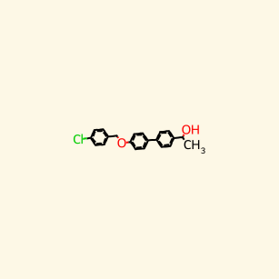 CC(O)c1ccc(-c2ccc(OCc3ccc(Cl)cc3)cc2)cc1